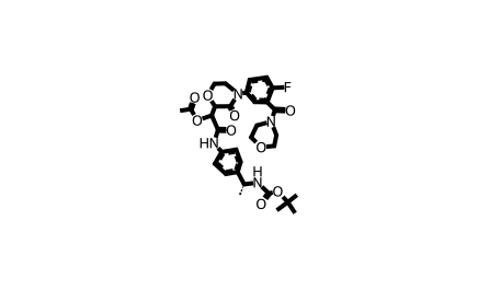 CC(=O)OC(C(=O)Nc1ccc([C@@H](C)NC(=O)OC(C)(C)C)cc1)C1OCCN(c2ccc(F)c(C(=O)N3CCOCC3)c2)C1=O